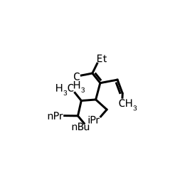 C/C=C\C(=C(\C)CC)C(CC(C)C)C(C)C(CCC)CCCC